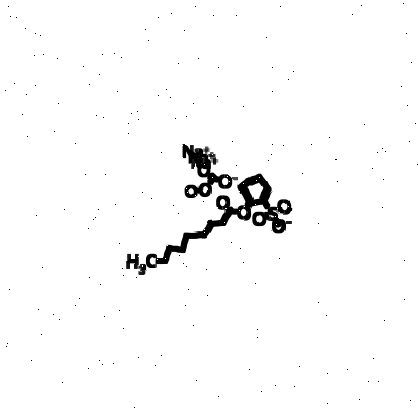 CCCCCCCCC(=O)Oc1ccccc1S(=O)(=O)[O-].O=C([O-])O[O-].[Na+].[Na+].[Na+]